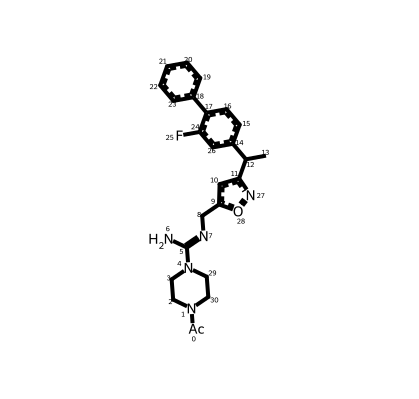 CC(=O)N1CCN(/C(N)=N/Cc2cc(C(C)c3ccc(-c4ccccc4)c(F)c3)no2)CC1